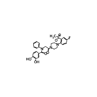 CS(=O)(=O)c1cc(F)ccc1N1CCN(C(=O)CN(C(=O)c2ccc(O)c(O)c2)c2ccccc2)CC1